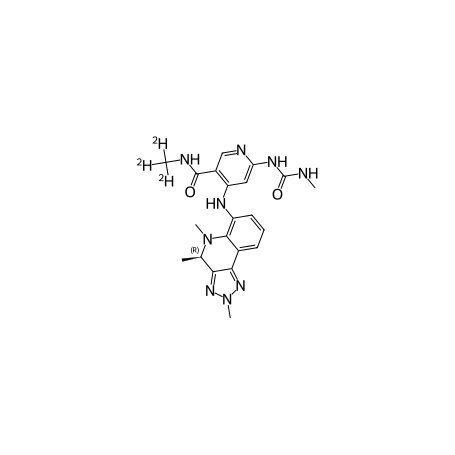 [2H]C([2H])([2H])NC(=O)c1cnc(NC(=O)NC)cc1Nc1cccc2c1N(C)[C@H](C)c1nn(C)nc1-2